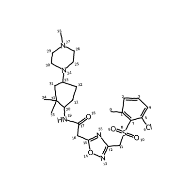 Cc1cccc(Cl)c1S(=O)(=O)Cc1noc(CC(=O)NC2CCC(N3CCN(C)CC3)CC2(C)C)n1